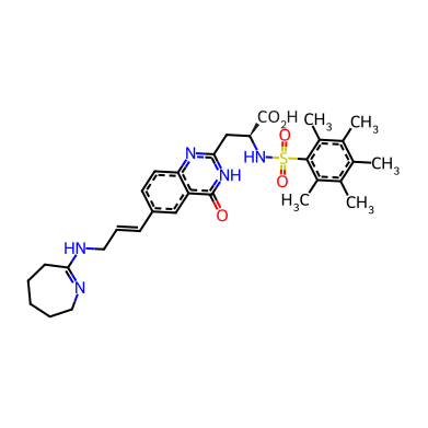 Cc1c(C)c(C)c(S(=O)(=O)N[C@@H](Cc2nc3ccc(C=CCNC4=NCCCCC4)cc3c(=O)[nH]2)C(=O)O)c(C)c1C